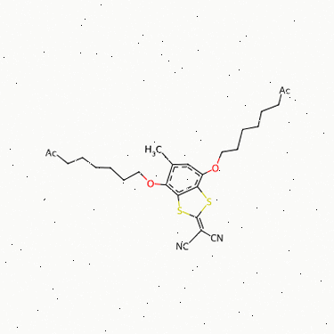 CC(=O)CCCCCCOc1cc(C)c(OCCCCCCC(C)=O)c2c1SC(=C(C#N)C#N)S2